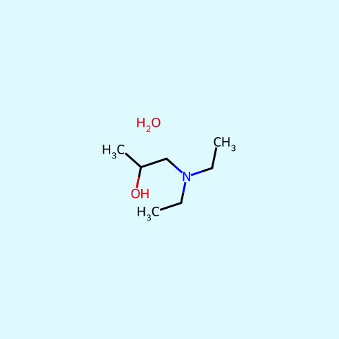 CCN(CC)CC(C)O.O